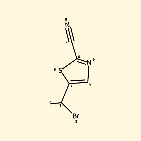 CC(Br)c1cnc(C#N)s1